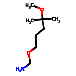 COC(C)(C)CCCOCN